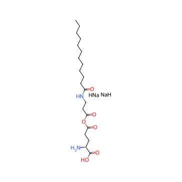 CCCCCCCCCCCC(=O)NCCC(=O)OC(=O)CC[C@H](N)C(=O)O.[NaH].[NaH]